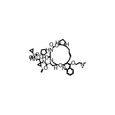 C=C[C@@H]1CC1(NC(=O)[C@@H]1C[C@@H]2CN1C(=O)[C@H](C1CCCC1)NC(=O)O[C@@H]1CCC[C@H]1CC/C=C/Cc1c(nc3ccccc3c1OCCN(C)C)O2)C(=O)NS(=O)(=O)C1CC1